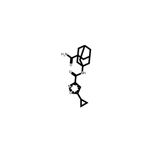 NC(=O)C12CC3CC(CC(NC(=O)c4cc(C5CC5)on4)(C3)C1)C2